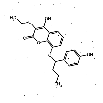 CCCC(Oc1cccc2c(O)c(OCC)c(=O)oc12)c1ccc(O)cc1